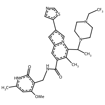 COc1cc(C)[nH]c(=O)c1CNC(=O)c1cc2cc(-c3cncs3)cn2c(C(C)N2CCN(CC(F)(F)F)CC2)c1C